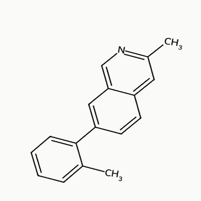 Cc1cc2ccc(-c3ccccc3C)cc2cn1